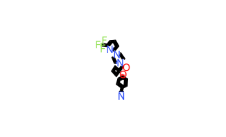 N#Cc1ccc(OC2(C(=O)N3CCN(c4cccc(C(F)(F)F)n4)CC3)CCC2)cc1